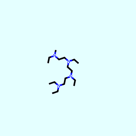 CCN(C)CCN(CC)CCN(CC)CCN(CC)CC